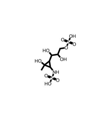 CC1(O)C(NS(=O)(=O)O)C1C(O)C(O)COS(=O)(=O)O